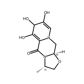 C[C@H]1CO[C@@H]2CN3C=C(O)C(O)C(O)=C3C(=O)N12